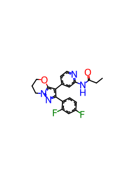 CCC(=O)Nc1cc(-c2c(-c3ccc(F)cc3F)nn3c2OCCC3)ccn1